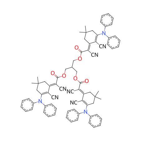 CC1(C)CC(N(c2ccccc2)c2ccccc2)=C(C#N)/C(=C(\C#N)C(=O)OCC(COC(=O)/C(C#N)=C2\CC(C)(C)CC(N(c3ccccc3)c3ccccc3)=C2C#N)COC(=O)/C(C#N)=C2\CC(C)(C)CC(N(c3ccccc3)c3ccccc3)=C2C#N)C1